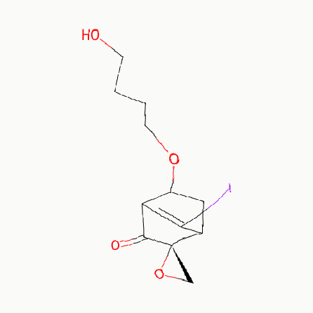 O=C1C2C=C(I)C(CC2OCCCCO)[C@@]12CO2